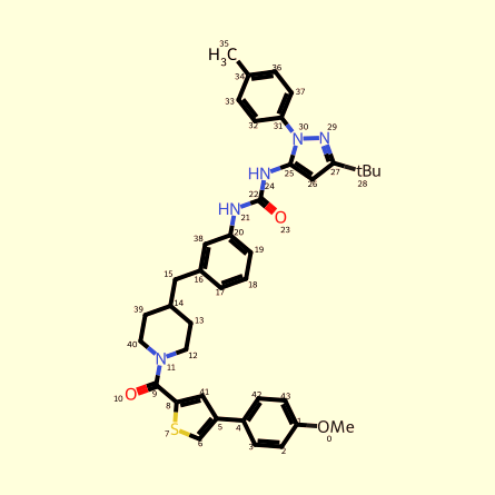 COc1ccc(-c2csc(C(=O)N3CCC(Cc4cccc(NC(=O)Nc5cc(C(C)(C)C)nn5-c5ccc(C)cc5)c4)CC3)c2)cc1